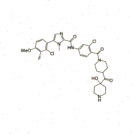 COc1ccc(-c2cnc(C(=O)Nc3ccc(C(=O)N4CCC(C(=O)C5(O)CCNCC5)CC4)c(Cl)c3)n2C)c(Cl)c1F